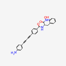 Nc1ccc(C#CC#Cc2ccc(C(=O)NC(Cc3ccccc3)C(=O)NO)cc2)cc1